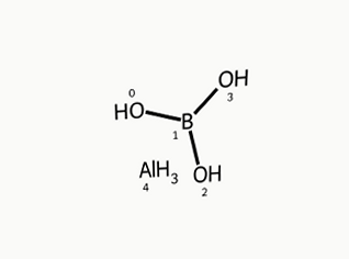 OB(O)O.[AlH3]